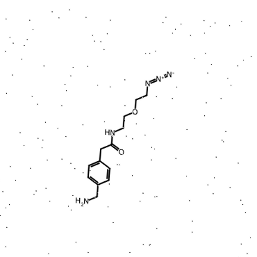 [N-]=[N+]=NCCOCCNC(=O)Cc1ccc(CN)cc1